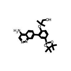 CC(C)(CO)Oc1ccc(B2OC(C)(C)C(C)(C)O2)cc1-c1ccc2c(N)cnnc2c1